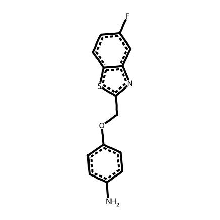 Nc1ccc(OCc2nc3cc(F)ccc3s2)cc1